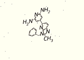 Cc1nc2ccc(-c3cc(N)nc(N)c3)nc2n1Cc1ccccc1